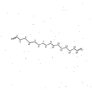 C=CCCCCCCCCCCCCCCC=C